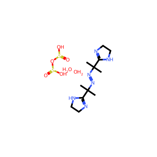 CC(C)(N=NC(C)(C)C1=NCCN1)C1=NCCN1.O.O.O=S(O)OS(=O)O